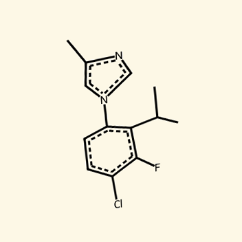 Cc1cn(-c2ccc(Cl)c(F)c2C(C)C)cn1